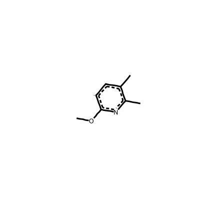 COc1[c]cc(C)c(C)n1